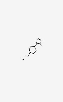 Cc1ncsc1C1CCC(COS(C)(=O)=O)CC1